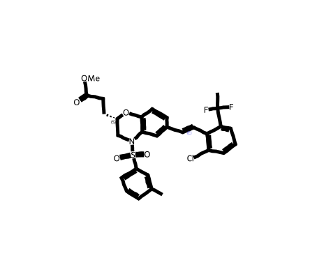 COC(=O)CC[C@H]1CN(S(=O)(=O)c2cccc(C)c2)c2cc(/C=C/c3c(Cl)cccc3C(C)(F)F)ccc2O1